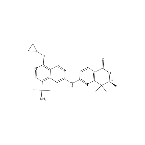 C[C@@H]1OC(=O)c2ccc(Nc3cc4c(C(C)(C)N)cnc(OC5CC5)c4cn3)nc2C1(C)C